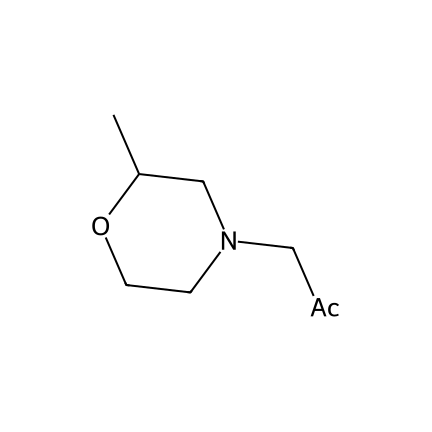 CC(=O)CN1CCOC(C)C1